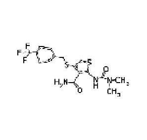 CN(C)C(=O)Nc1scc(SCc2ccc(C(F)(F)F)cc2)c1C(N)=O